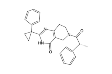 C[C@@H](C(=O)N1CCc2nc(C3(c4ccccc4)CC3)[nH]c(=O)c2C1)c1ccccc1